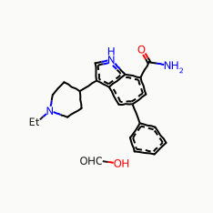 CCN1CCC(c2c[nH]c3c(C(N)=O)cc(-c4ccccc4)cc23)CC1.O=CO